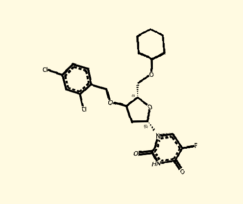 O=c1[nH]c(=O)n([C@@H]2CC(OCc3ccc(Cl)cc3Cl)[C@H](COC3CCCCC3)O2)cc1F